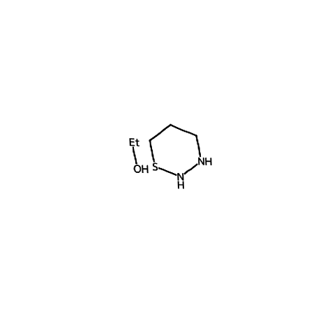 C1CNNSC1.CCO